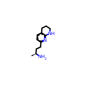 C[C@H](N)C[CH]c1ccc2c(n1)NCCC2